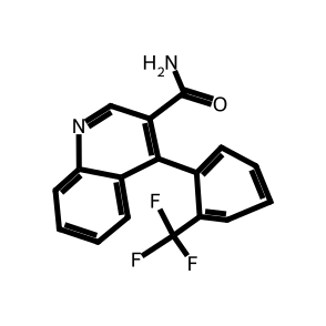 NC(=O)c1cnc2ccccc2c1-c1ccccc1C(F)(F)F